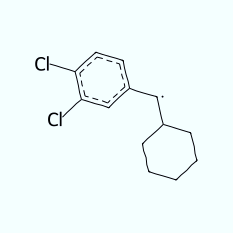 Clc1ccc([CH]C2CCCCC2)cc1Cl